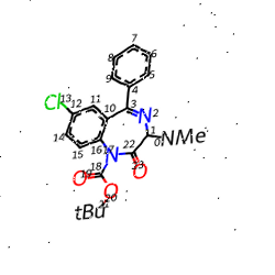 CNC1N=C(c2ccccc2)c2cc(Cl)ccc2N(C(=O)OC(C)(C)C)C1=O